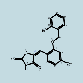 O=C1NC(=S)S/C1=C/c1ccc(O)cc1OCc1ccccc1Br